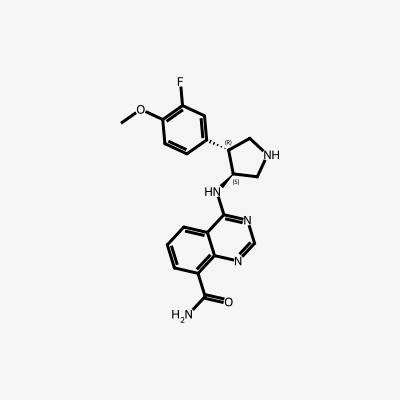 COc1ccc([C@@H]2CNC[C@H]2Nc2ncnc3c(C(N)=O)cccc23)cc1F